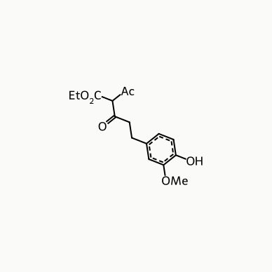 CCOC(=O)C(C(C)=O)C(=O)CCc1ccc(O)c(OC)c1